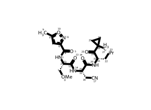 COC[C@H](NC(=O)c1cc(C)on1)C(=O)N[C@@H](CC#N)C(=O)N[C@@H](CC(C)C)C(=O)C1(C)CC1